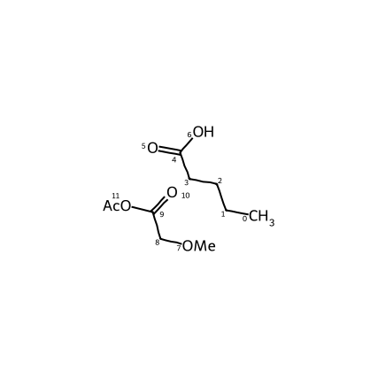 CCCCC(=O)O.COCC(=O)OC(C)=O